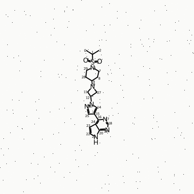 CC(C)S(=O)(=O)N1CCC(N2C[C](n3cc(-c4ncnc5[nH]ccc45)cn3)C2)CC1